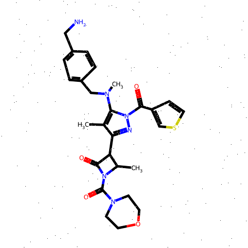 Cc1c(C2C(=O)N(C(=O)N3CCOCC3)C2C)nn(C(=O)c2ccsc2)c1N(C)Cc1ccc(CN)cc1